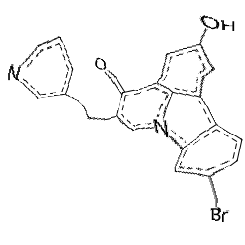 O=c1c(Cc2cccnc2)cn2c3cc(Br)ccc3c3cc(O)cc1c32